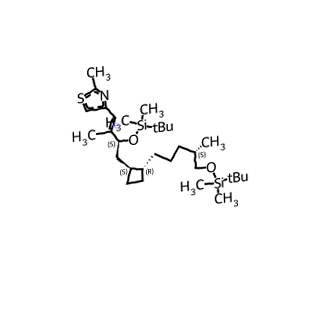 C/C(=C\c1csc(C)n1)[C@H](C[C@@H]1CC[C@H]1CCC[C@H](C)CO[Si](C)(C)C(C)(C)C)O[Si](C)(C)C(C)(C)C